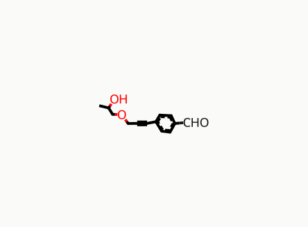 CC(O)COCC#Cc1ccc(C=O)cc1